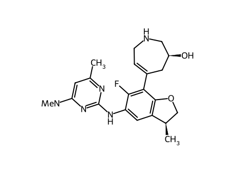 CNc1cc(C)nc(Nc2cc3c(c(C4=CCNC[C@@H](O)C4)c2F)OC[C@H]3C)n1